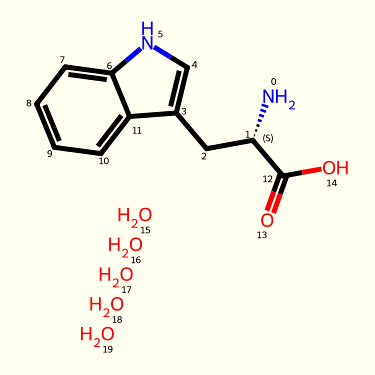 N[C@@H](Cc1c[nH]c2ccccc12)C(=O)O.O.O.O.O.O